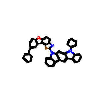 c1ccc(-c2ccc3oc4ccc5nc(-n6c7ccccc7c7cc8c9ccccc9n(-c9ccccc9)c8cc76)sc5c4c3c2)cc1